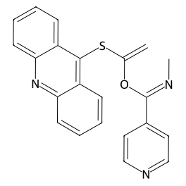 C=C(O/C(=N\C)c1ccncc1)Sc1c2ccccc2nc2ccccc12